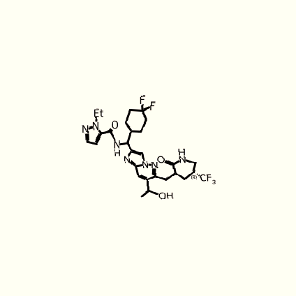 CCn1nccc1C(=O)NC(c1cn2nc(CC3C[C@@H](C(F)(F)F)CNC3=O)c(C(C)O)cc2n1)C1CCC(F)(F)CC1